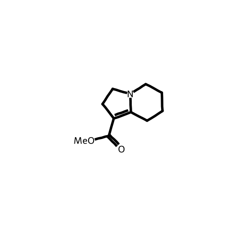 COC(=O)C1=C2CCCCN2CC1